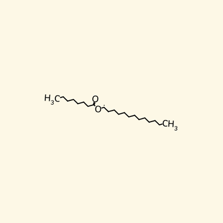 CCCCCCCCCCCC[CH]OC(=O)CCCCCCC